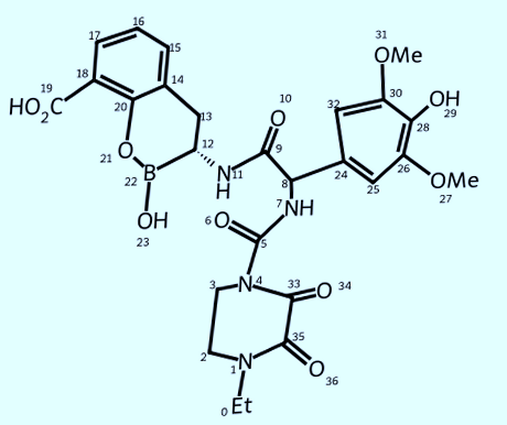 CCN1CCN(C(=O)NC(C(=O)N[C@H]2Cc3cccc(C(=O)O)c3OB2O)c2cc(OC)c(O)c(OC)c2)C(=O)C1=O